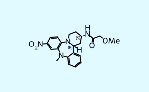 COCC(=O)N[C@H]1CCN2c3ccc([N+](=O)[O-])cc3N(C)c3ccccc3[C@H]2C1